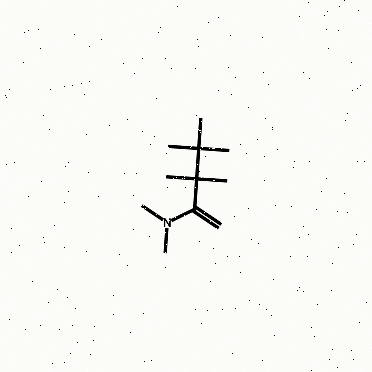 C=C(N(C)C)C(C)(C)C(C)(C)C